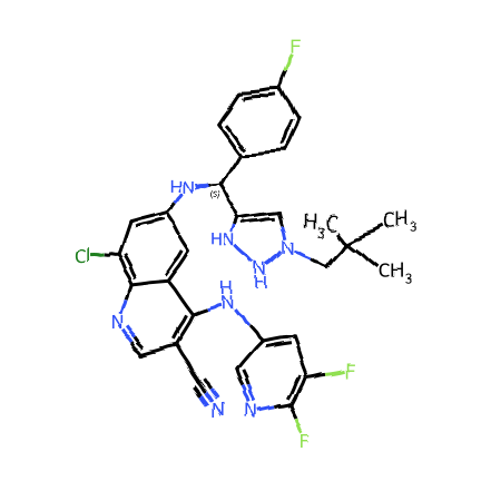 CC(C)(C)CN1C=C([C@@H](Nc2cc(Cl)c3ncc(C#N)c(Nc4cnc(F)c(F)c4)c3c2)c2ccc(F)cc2)NN1